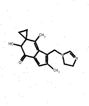 CC1=C(CN2C=NCC2)C2=C(C)C3(CC3)C(O)C(=O)C2=C1